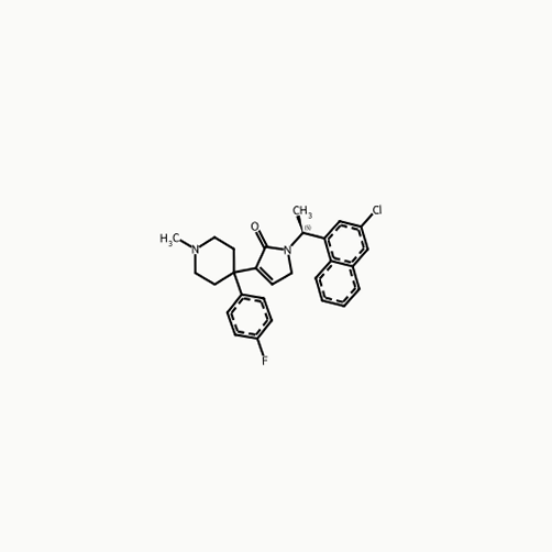 C[C@@H](c1cc(Cl)cc2ccccc12)N1CC=C(C2(c3ccc(F)cc3)CCN(C)CC2)C1=O